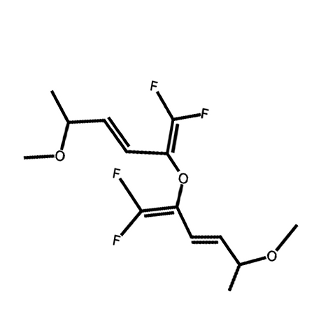 COC(C)C=CC(OC(C=CC(C)OC)=C(F)F)=C(F)F